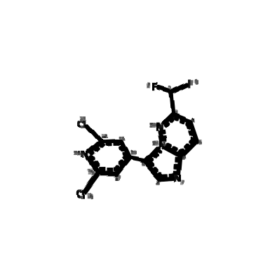 FC(F)c1ccc2ncc(-c3cc(Cl)nc(Cl)c3)n2n1